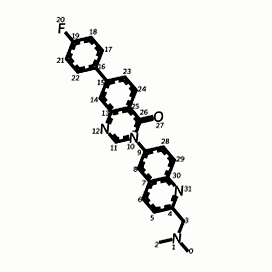 CN(C)Cc1ccc2cc(-n3cnc4cc(-c5ccc(F)cc5)ccc4c3=O)ccc2n1